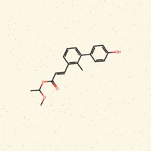 COC(C)OC(=O)C=Cc1cccc(-c2ccc(O)cc2)c1C